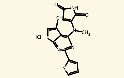 Cc1csc2nc(-c3cccs3)nc(N(C)C3=CC(=O)NC3=O)c12.Cl